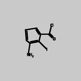 Nc1cccc(C(=O)Cl)c1I